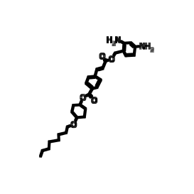 CCCCCCCCOC1CCC(OC(=O)c2ccc(/C=C/C(=O)OCc3ccc(N)cc3N)cc2)CC1